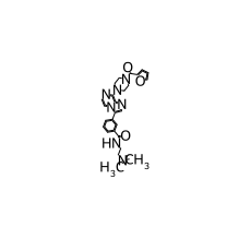 CN(C)CCNC(=O)c1cccc(-c2cnc3c(N4CCN(C(=O)c5ccco5)CC4)nccn23)c1